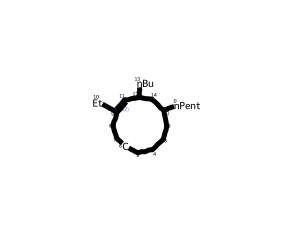 CCCCCC1CCCCCCC/C(CC)=C\C(CCCC)C1